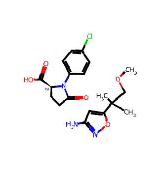 COCC(C)(C)c1cc(N)no1.O=C(O)[C@@H]1CCC(=O)N1c1ccc(Cl)cc1